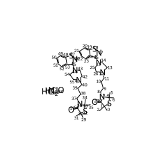 CC1(C)SC(C)(C)N(CCCCN2CCN(c3nsc4ccccc34)CC2)C1=O.CC1(C)SC(C)(C)N(CCCCN2CCN(c3nsc4ccccc34)CC2)C1=O.Cl.Cl.O